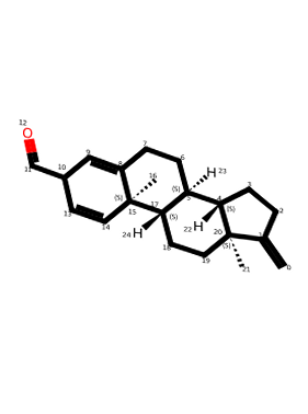 C=C1CC[C@H]2[C@@H]3CCC4=CC(C=O)C=C[C@]4(C)[C@H]3CC[C@]12C